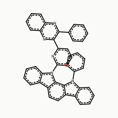 c1ccc(-c2nc3ccccc3nc2-c2cccc(-n3c4ccccc4c4ccc5c6ccccc6n(-c6ccccc6)c5c43)n2)cc1